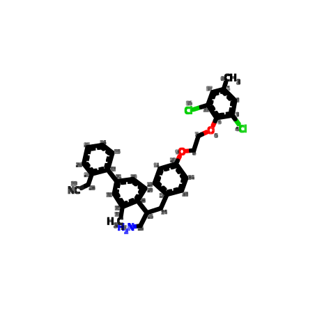 Cc1cc(Cl)c(OCCOc2ccc(CC(CN)c3ccc(-c4ccccc4CC#N)cc3C)cc2)c(Cl)c1